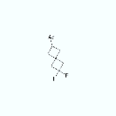 CC(=O)C1CC2(C1)CC(F)(F)C2